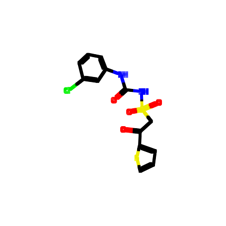 O=C(Nc1cccc(Cl)c1)NS(=O)(=O)CC(=O)c1cccs1